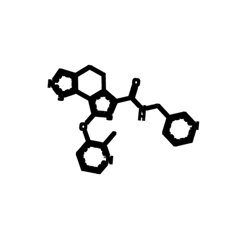 Cc1ncccc1Oc1sc(C(=O)NCc2cccnc2)c2c1-c1sncc1CC2